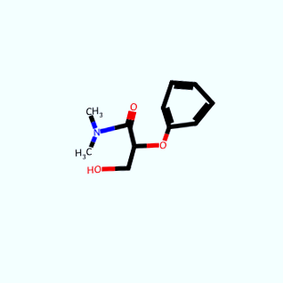 CN(C)C(=O)C(CO)Oc1ccccc1